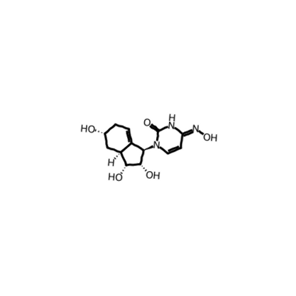 O=c1[nH]c(=NO)ccn1[C@@H]1C2=CC[C@@H](O)C[C@@H]2[C@@H](O)[C@H]1O